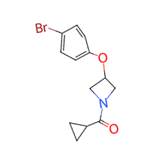 O=C(C1CC1)N1CC(Oc2ccc(Br)cc2)C1